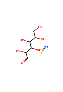 N=S.O=CC(O)C(O)C(O)C(O)CO